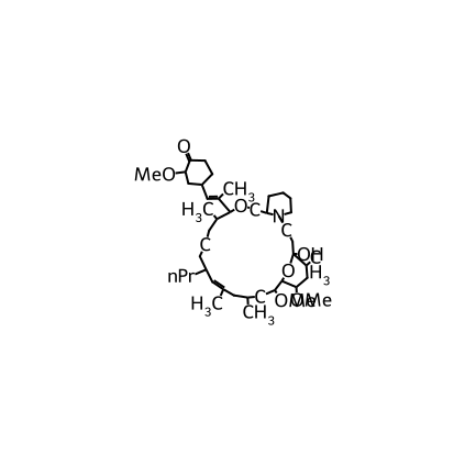 CCCC1C=C(C)CC(C)CC(OC)C2OC(O)(CCN3CCCCC3COC(C(C)=CC3CCC(=O)C(OC)C3)C(C)CCC1)C(C)CC2OC